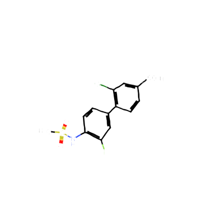 CS(=O)(=O)Nc1ccc(-c2ccc(C(=O)O)cc2Cl)cc1F